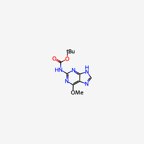 COc1nc(NC(=O)OC(C)(C)C)nc2[nH]cnc12